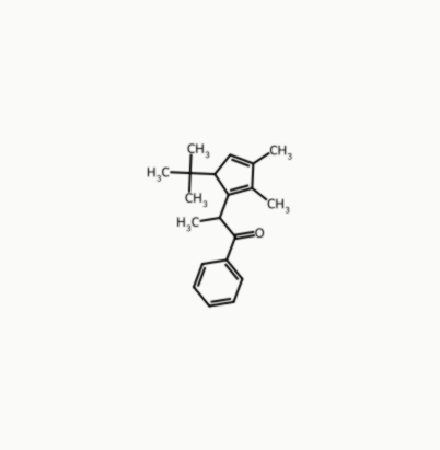 CC1=CC(C(C)(C)C)C(C(C)C(=O)c2ccccc2)=C1C